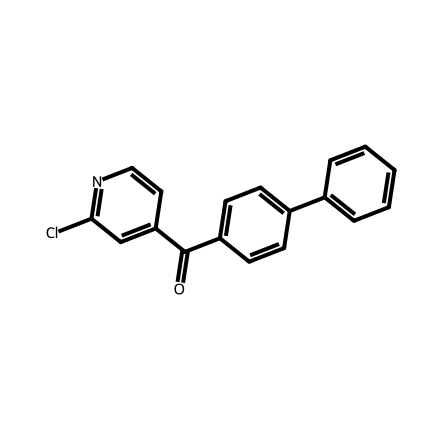 O=C(c1ccc(-c2ccccc2)cc1)c1ccnc(Cl)c1